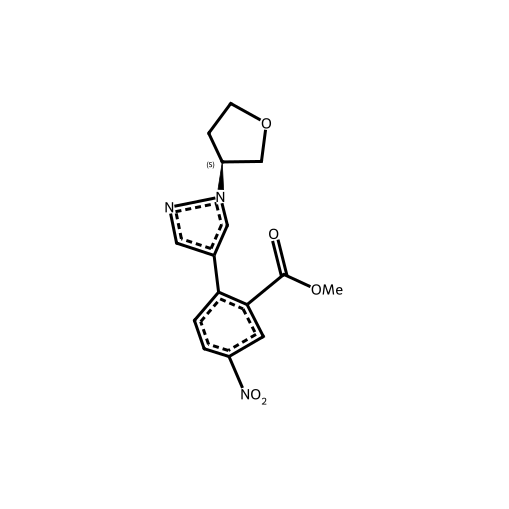 COC(=O)c1cc([N+](=O)[O-])ccc1-c1cnn([C@H]2CCOC2)c1